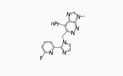 CCCc1c(Cn2ccnc2-c2cccc(F)n2)nnc2c1ncn2C